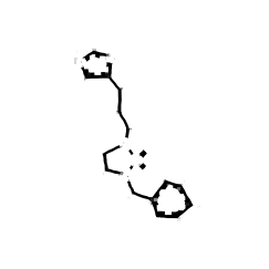 O=S1(=O)N(CCCc2c[nH]cn2)CCN1Cc1ccccc1